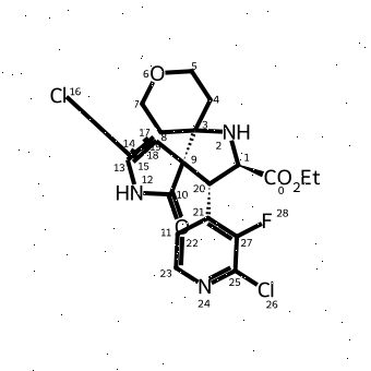 CCOC(=O)[C@@H]1NC2(CCOCC2)[C@@]2(C(=O)Nc3cc(Cl)ccc32)[C@H]1c1ccnc(Cl)c1F